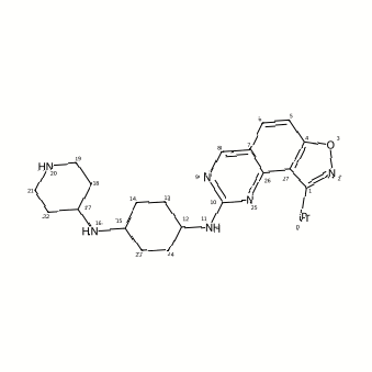 CC(C)c1noc2ccc3cnc(NC4CCC(NC5CCNCC5)CC4)nc3c12